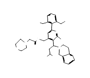 CCc1cccc(CC)c1-c1cc(CNC(=O)CN2CCOCC2)c(C(CC(C)C)N2CCc3ccccc3C2)c(C)n1